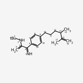 C=C(NC(C)(C)C)C(=N)c1ccc(CCCC(C)C(=C)C)cc1